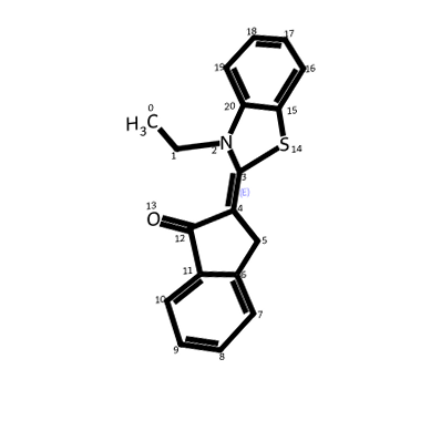 CCN1/C(=C2/Cc3ccccc3C2=O)Sc2ccccc21